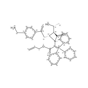 C=CCOC(=O)C(N1C(=O)[C@H]([C@@H](C)O)[C@H]1CC(=O)c1ccc(CN)cc1)=P(c1ccccc1)(c1ccccc1)c1ccccc1